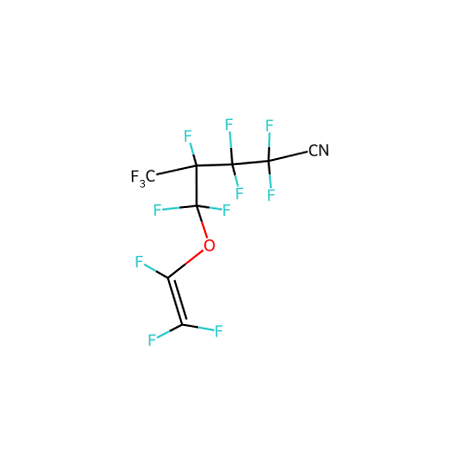 N#CC(F)(F)C(F)(F)C(F)(C(F)(F)F)C(F)(F)OC(F)=C(F)F